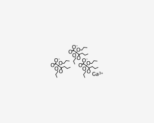 CCCOC(OCCC)(C(=O)[O-])C(=O)CCC.CCCOC(OCCC)(C(=O)[O-])C(=O)CCC.CCCOC(OCCC)(C(=O)[O-])C(=O)CCC.[Ga+3]